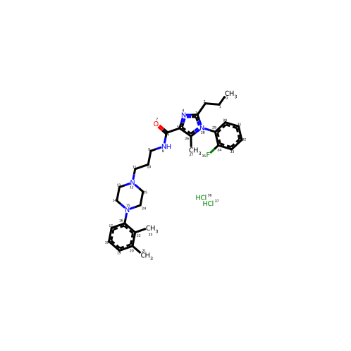 CCCc1nc(C(=O)NCCCN2CCN(c3cccc(C)c3C)CC2)c(C)n1-c1ccccc1F.Cl.Cl